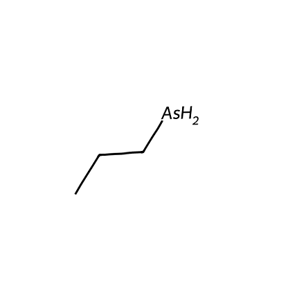 CCC[AsH2]